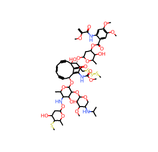 C=C(OC)C(=O)Nc1cc(OC)c(OC)cc1C(=O)OC1CC(O[C@@H]2C(=O)C(NC(=O)OC)=C3/C(=C\CSSSC)[C@]2(O)C#C/C=C\C#C[C@@H]3OC2OC(C)C(NOC3CC(O)C(SC)C(C)O3)C(O)C2OC2CC(OC)C(NC(C)C)CO2)OC(C)C1O